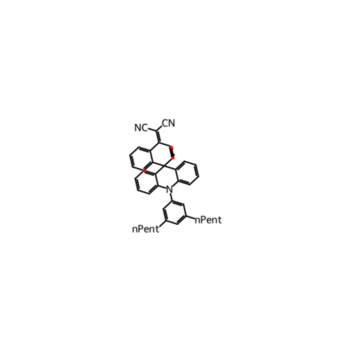 CCCCCc1cc(CCCCC)cc(N2c3ccccc3C3(c4ccccc4C(=C(C#N)C#N)c4ccccc43)c3ccccc32)c1